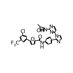 CC(O)CNc1nccc(-n2ccnc2-c2ccc(NC(=O)c3ccc(-c4cc(Cl)cc(C(F)(F)F)c4)o3)cc2)n1